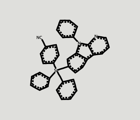 N#Cc1ccc([Si](c2ccccc2)(c2ccccc2)c2ccc3c4cccnc4n(-c4ccccc4)c3c2)cc1